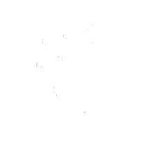 Fc1ccc(-n2ccc(NC3=NCN(Cc4ccc(Cl)cc4)C=N3)c2)cc1